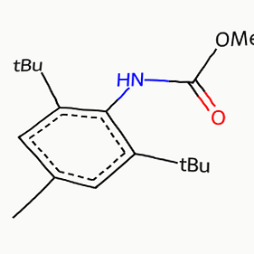 COC(=O)Nc1c(C(C)(C)C)cc(C)cc1C(C)(C)C